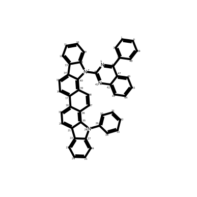 c1ccc(-c2nc(-n3c4ccccc4c4ccc5c6ccc7c8ccccc8n(-c8ccccc8)c7c6ccc5c43)nc3ccccc23)cc1